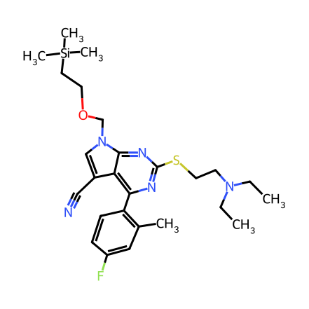 CCN(CC)CCSc1nc(-c2ccc(F)cc2C)c2c(C#N)cn(COCC[Si](C)(C)C)c2n1